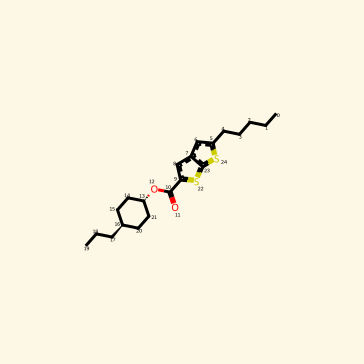 CCCCCc1cc2cc(C(=O)O[C@H]3CC[C@H](CCC)CC3)sc2s1